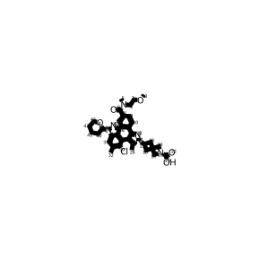 COCCN(C)C(=O)c1ccc(-c2nn(C3CC4(C3)CN(C(=O)O)C4)c(C)c2-c2c(Cl)c(C)cc3c2cnn3C2CCCCO2)cc1